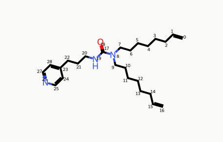 C=CCCCCCCN(CCCCCCC=C)C(=O)NCCCc1ccncc1